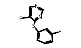 Fc1cccc(Sc2n[c]ncc2F)c1